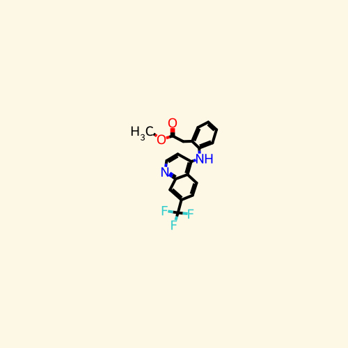 COC(=O)Cc1ccccc1Nc1ccnc2cc(C(F)(F)F)ccc12